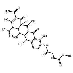 CC1c2ccc(NC(=O)CNC(=O)OC(C)(C)C)c(O)c2C(=O)C2=C(O)C3(O)C(=O)C(C(N)=O)=C(O)C(N(C)C)C3C(O)C21